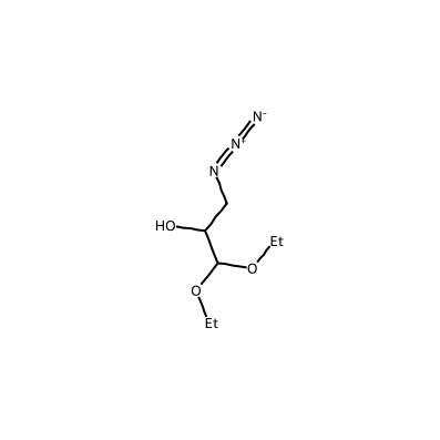 CCOC(OCC)C(O)CN=[N+]=[N-]